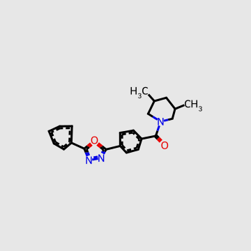 CC1CC(C)CN(C(=O)c2ccc(-c3nnc(-c4ccccc4)o3)cc2)C1